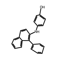 Oc1ccc(Nc2ccc3ccccc3c2-c2ccccc2)cc1